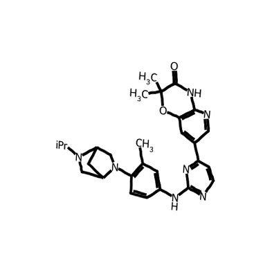 Cc1cc(Nc2nccc(-c3cnc4c(c3)OC(C)(C)C(=O)N4)n2)ccc1N1CC2CC1CN2C(C)C